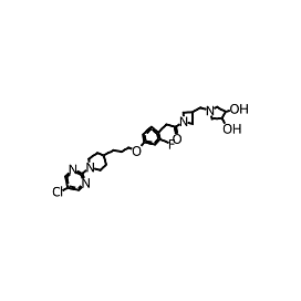 O=C(Cc1ccc(OCCCC2CCN(c3ncc(Cl)cn3)CC2)cc1F)N1CC(CN2CC(O)C(O)C2)C1